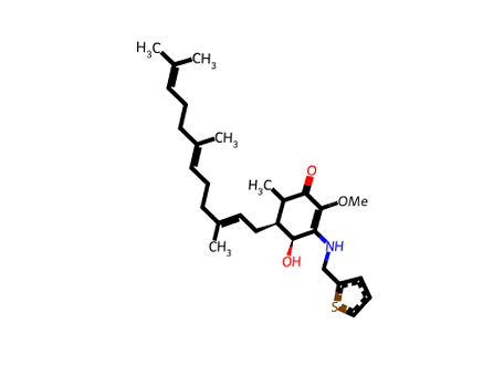 COC1=C(NCc2cccs2)[C@@H](O)[C@@H](C/C=C(\C)CC/C=C(\C)CCC=C(C)C)C(C)C1=O